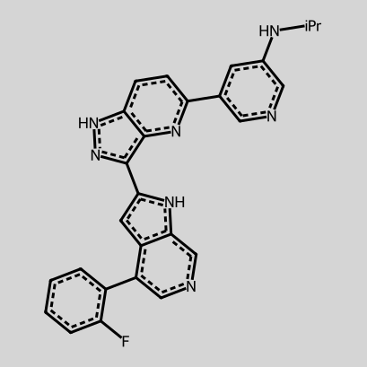 CC(C)Nc1cncc(-c2ccc3[nH]nc(-c4cc5c(-c6ccccc6F)cncc5[nH]4)c3n2)c1